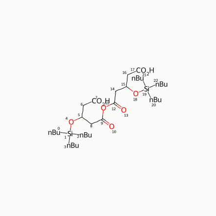 CCCC[Si](CCCC)(CCCC)OC(CC(=O)O)CC(=O)OC(=O)CC(CC(=O)O)O[Si](CCCC)(CCCC)CCCC